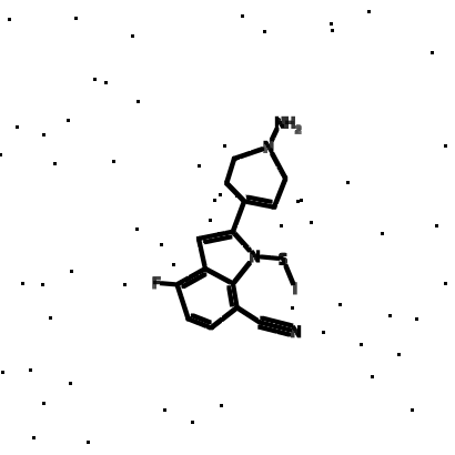 N#Cc1ccc(F)c2cc(C3=CCN(N)CC3)n(SI)c12